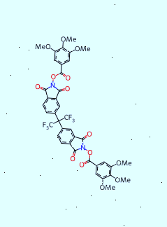 COc1cc(C(=O)ON2C(=O)c3ccc(C(c4ccc5c(c4)C(=O)N(OC(=O)c4cc(OC)c(OC)c(OC)c4)C5=O)(C(F)(F)F)C(F)(F)F)cc3C2=O)cc(OC)c1OC